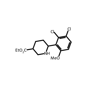 CCOC(=O)C1CCC(c2c(OC)ccc(Cl)c2Cl)NC1